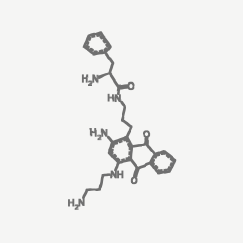 NCCCNc1cc(N)c(CCCNC(=O)[C@@H](N)Cc2ccccc2)c2c1C(=O)c1ccccc1C2=O